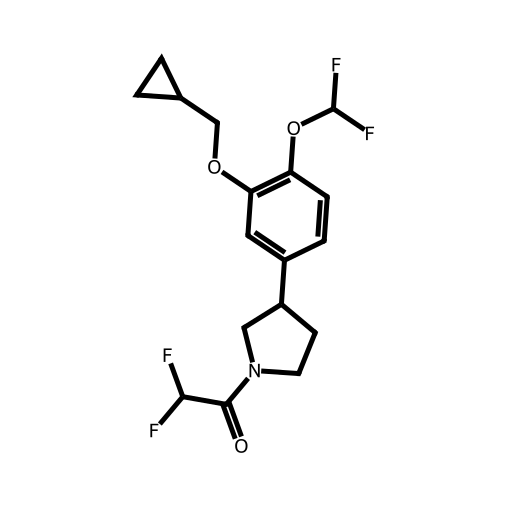 O=C(C(F)F)N1CCC(c2ccc(OC(F)F)c(OCC3CC3)c2)C1